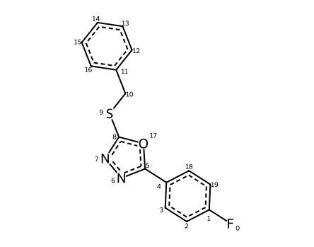 Fc1ccc(-c2nnc(SCc3ccccc3)o2)cc1